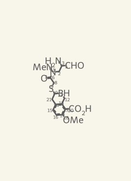 CNN(CC(N)C=O)C(=O)CSC1BCc2c(ccc(OC)c2C(=O)O)C1